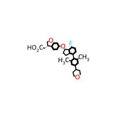 Cc1cc(C2CCOCC2)cc(C)c1-c1ccc(F)c2c1CC[C@H]2Oc1ccc2c(c1)OC[C@H]2CC(=O)O